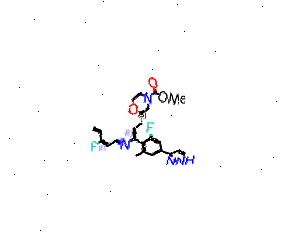 C=C\C(F)=C/C=N/C(=C/C[C@H]1CN(C(=O)OC)CCO1)c1c(C)cc(-c2cc[nH]n2)cc1F